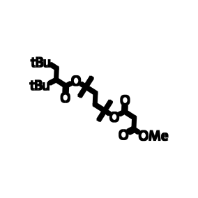 COC(=O)CC(=O)OC(C)(C)CCC(C)(C)OC(=O)C(CC(C)(C)C)C(C)(C)C